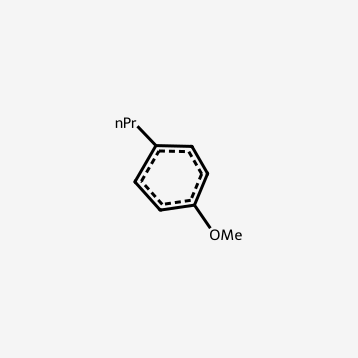 C[CH]Cc1ccc(OC)cc1